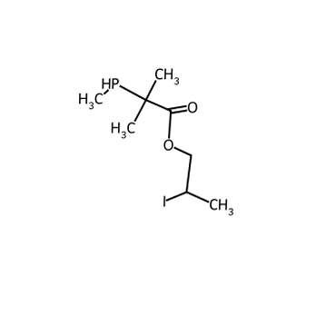 CPC(C)(C)C(=O)OCC(C)I